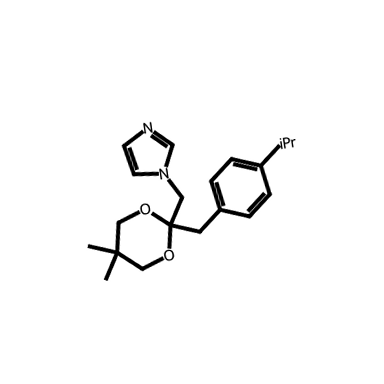 CC(C)c1ccc(CC2(Cn3ccnc3)OCC(C)(C)CO2)cc1